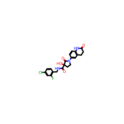 O=C1CCc2cc(N3CCC(O)(C(=O)NCc4ccc(Cl)cc4F)C3=O)ccc2N1